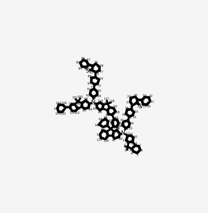 CC1(C)c2ccccc2-c2ccc(N(c3ccc(-c4ccc(-c5cccc6c5sc5ccccc56)cc4)cc3)c3ccc4c(c3)C(c3ccccc3)(c3cccc(-c5ccc6c(c5)-c5ccc(N(c7ccc(-c8ccc(-c9cccc%10c9sc9ccccc9%10)cc8)cc7)c7ccc8c(c7)C(C)(C)c7cc(-c9ccccc9)ccc7-8)cc5C6(C)C)c3)c3ccccc3-4)cc21